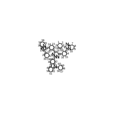 c1ccc(-c2nc3ccccn3c2-c2cccc(-c3cc(-c4cccc(-c5c(-c6ccccc6)nc6ccccn56)c4)nc(-c4ccc5c6ccccc6n(-c6ccccc6)c5c4)n3)c2)cc1